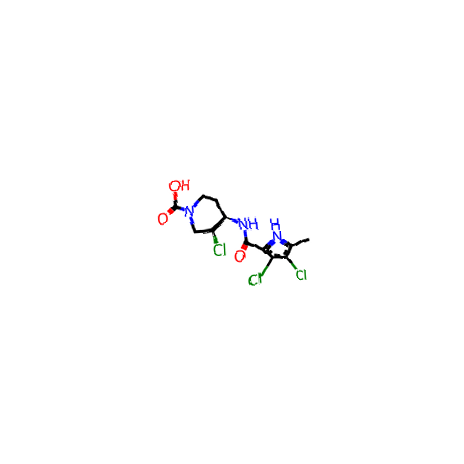 Cc1[nH]c(C(=O)N[C@@H]2CCN(C(=O)O)C[C@@H]2Cl)c(Cl)c1Cl